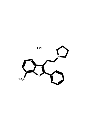 Cl.O=C(O)c1cccc2c(CCN3CCCC3)c(-c3ccccc3)oc12